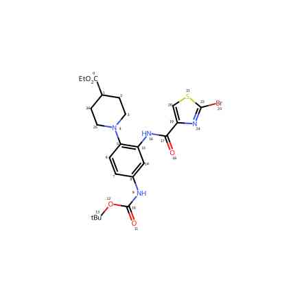 CCOC(=O)C1CCN(c2ccc(NC(=O)OC(C)(C)C)cc2NC(=O)c2csc(Br)n2)CC1